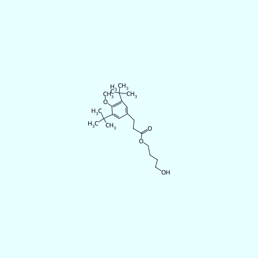 COc1c(C(C)(C)C)cc(CCC(=O)OCCCCO)cc1C(C)(C)C